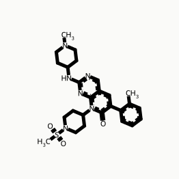 Cc1ccccc1-c1cc2cnc(NC3CCN(C)CC3)nc2n(C2CCN(S(C)(=O)=O)CC2)c1=O